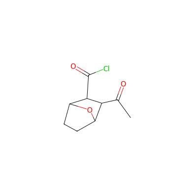 CC(=O)C1C2CCC(O2)C1C(=O)Cl